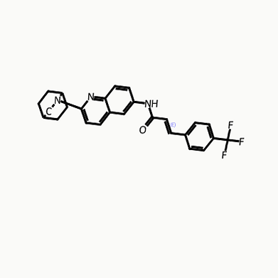 O=C(/C=C/c1ccc(C(F)(F)F)cc1)Nc1ccc2nc(N3CC4CCC3CC4)ccc2c1